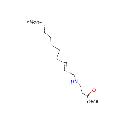 CCCCCCCCCCCCCCCC=CCNCCC(=O)OC